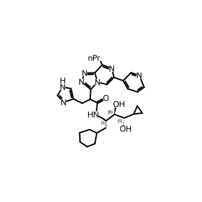 CCCc1nc(-c2cccnc2)cn2c(C(Cc3c[nH]cn3)C(=O)N[C@@H](CC3CCCCC3)[C@@H](O)[C@@H](O)C3CC3)nnc12